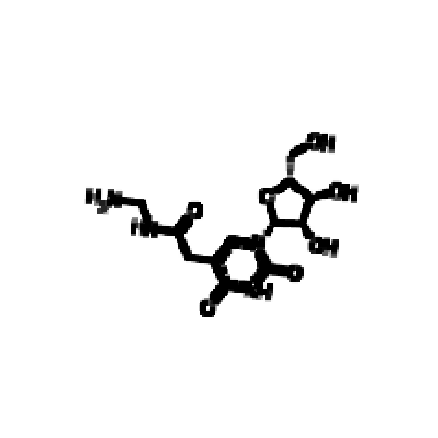 NCNC(=O)Cc1cn([C@@H]2O[C@H](CO)[C@@H](O)[C@H]2O)c(=O)[nH]c1=O